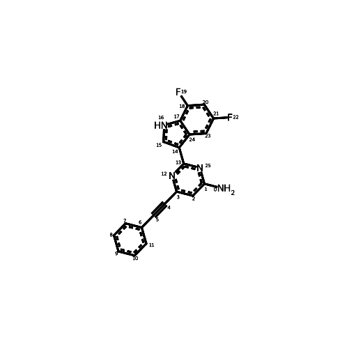 Nc1cc(C#Cc2ccccc2)nc(-c2c[nH]c3c(F)cc(F)cc23)n1